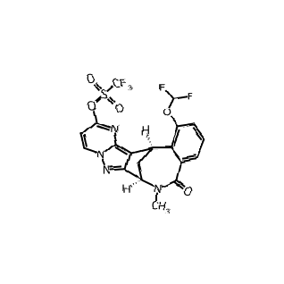 CN1C(=O)c2cccc(OC(F)F)c2[C@H]2C[C@@H]1c1nn3ccc(OS(=O)(=O)C(F)(F)F)nc3c12